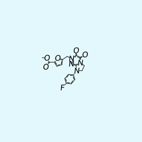 COC(=O)c1ccc(Cn2nc3n(c(=O)c2=O)CCN3c2ccc(F)cc2)o1